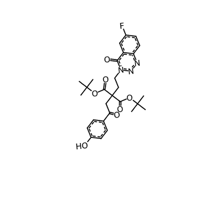 CC(C)(C)OC(=O)C(CCn1nnc2ccc(F)cc2c1=O)(CC(=O)c1ccc(O)cc1)C(=O)OC(C)(C)C